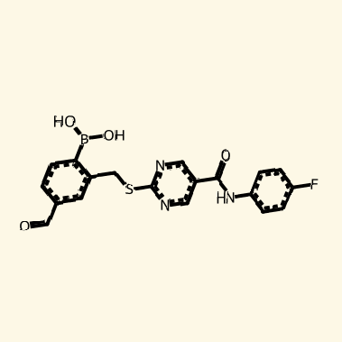 O=Cc1ccc(B(O)O)c(CSc2ncc(C(=O)Nc3ccc(F)cc3)cn2)c1